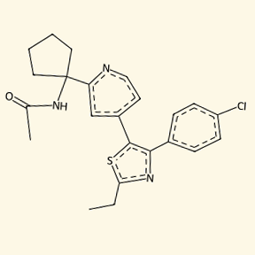 CCc1nc(-c2ccc(Cl)cc2)c(-c2ccnc(C3(NC(C)=O)CCCC3)c2)s1